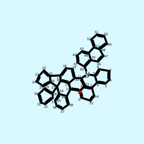 c1ccc(-c2ccccc2N(c2ccc3c4c5c(ccc24)-c2ccccc2C5(c2ccccc2)c2ccccc2-3)c2cccc3c2ccc2ccccc23)cc1